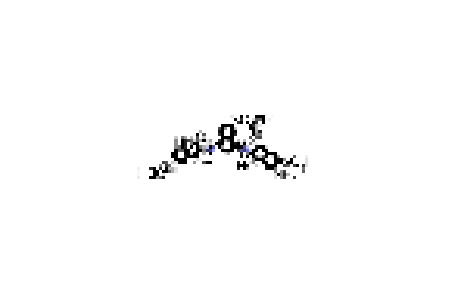 Nc1cc2c(O)c(/N=N/c3ccc(/N=N/c4c(O)c5cc(SOOO)ccc5[nH]c4=O)c4ccc(S(=O)(=O)O)cc34)c(SOOO)cc2cc1S(=O)(=O)O